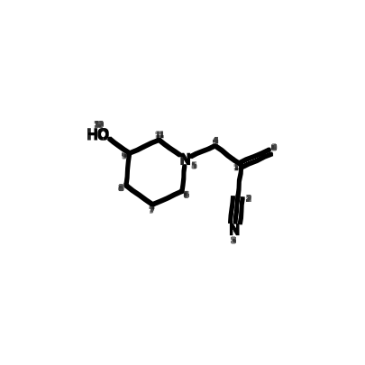 C=C(C#N)CN1CCCC(O)C1